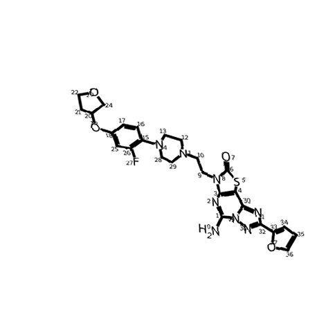 Nc1nc2c(sc(=O)n2CCN2CCN(c3ccc(OC4CCOC4)cc3F)CC2)c2nc(-c3ccco3)nn12